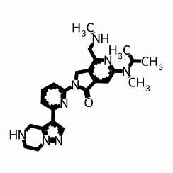 CNCc1nc(N(C)C(C)C)cc2c1CN(c1cccc(-c3cnn4c3CNCC4)n1)C2=O